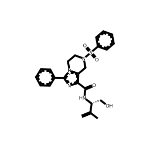 C=C(C)[C@@H](CO)NC(=O)c1nc(-c2ccccc2)n2c1CN(S(=O)(=O)c1ccccc1)CC2